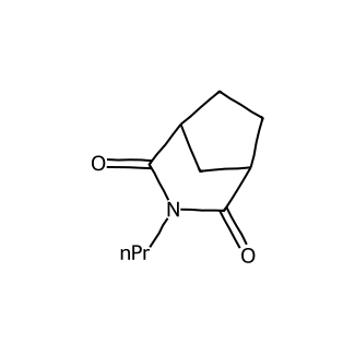 CCCN1C(=O)C2CCC(C2)C1=O